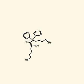 SCCCCC(S)=C(S)C(CCCCS)(c1ccccc1)c1ccccc1